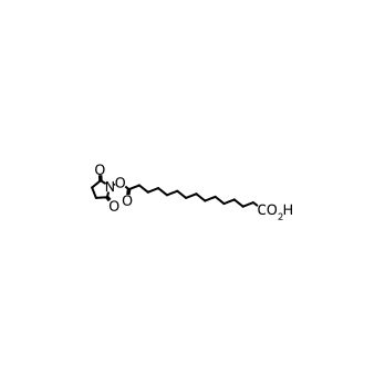 O=C(O)CCCCCCCCCCCCCC(=O)ON1C(=O)CCC1=O